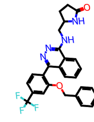 O=C1CCC(CNc2nnc(-c3ccc(C(F)(F)F)cc3OCc3ccccc3)c3ccccc23)N1